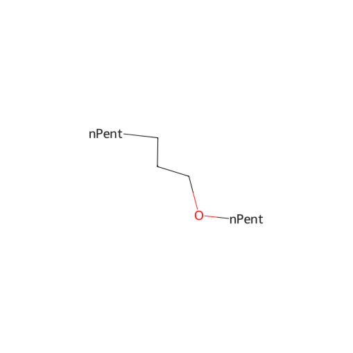 CCCCCCCCOCCCCC